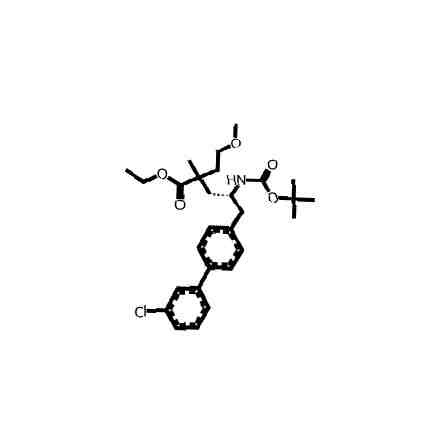 CCOC(=O)C(C)(CCOC)C[C@@H](Cc1ccc(-c2cccc(Cl)c2)cc1)NC(=O)OC(C)(C)C